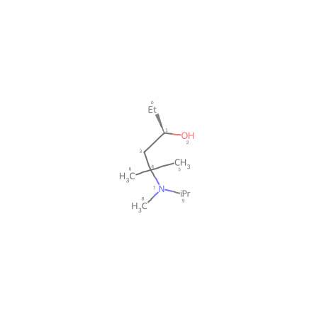 CC[C@@H](O)CC(C)(C)N(C)C(C)C